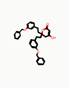 O=C1C=C(O)CC(CCc2cccc(OCc3ccccc3)c2)(CCc2cccc(OCc3ccccc3)c2)O1